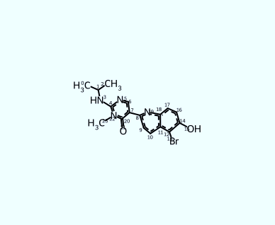 CC(C)Nc1ncc(-c2ccc3c(Br)c(O)ccc3n2)c(=O)n1C